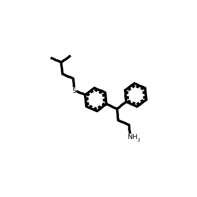 CC(C)CCSc1ccc(C(CCN)c2ccccc2)cc1